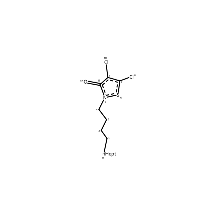 CCCCCCCCCCCn1sc(Cl)c(Cl)c1=O